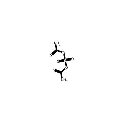 NC(=S)OS(=O)(=O)OC(N)=S